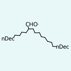 CCCCCCCCCCCCCCCCCCC([C]=O)CCCCCCCCCCCCCC